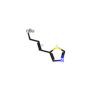 CCCCC/C=C/c1cncs1